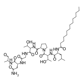 CCCCCCCCCCCCCC(=O)N[C@@H](CC(C)C)C(=O)NC(C(=O)N1CCC[C@@H]1C(=O)NC(C(=O)NCC(=O)N[C@@H](CC(N)=O)C(=O)NC(C)C=O)C(C)O)C(C)O